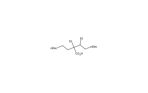 CCCCCCCCCCCCC(CC)(C(=O)O)C(CC)CCCCCCCCCCC